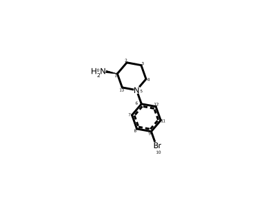 N[C@H]1CCCN(c2ccc(Br)cc2)C1